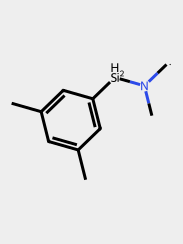 [CH2]N(C)[SiH2]c1cc(C)cc(C)c1